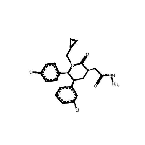 NNC(=O)C[C@H]1CC(c2cccc(Cl)c2)[C@@H](c2ccc(Cl)cc2)N(CC2CC2)C1=O